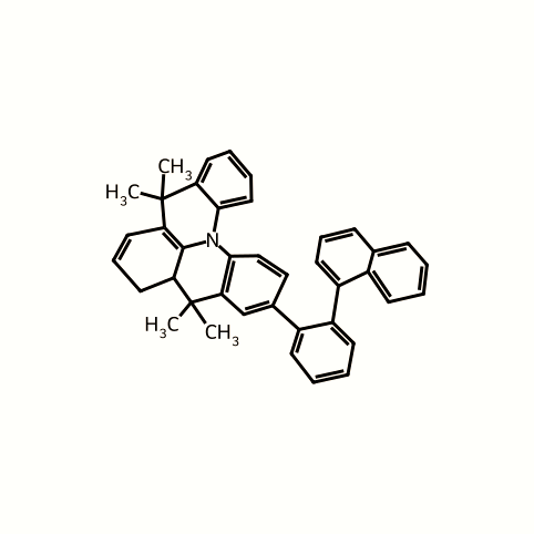 CC1(C)C2=C3C(CC=C2)C(C)(C)c2cc(-c4ccccc4-c4cccc5ccccc45)ccc2N3c2ccccc21